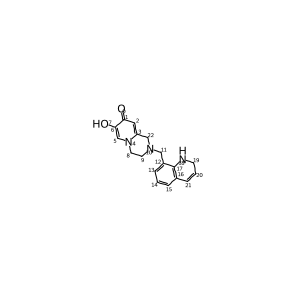 O=c1cc2n(cc1O)CCN(Cc1cccc3c1NCC=C3)C2